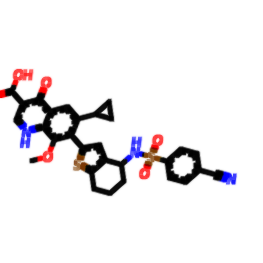 COc1c(-c2cc3c(s2)CCCC3NS(=O)(=O)c2ccc(C#N)cc2)c(C2CC2)cc2c(=O)c(C(=O)O)c[nH]c12